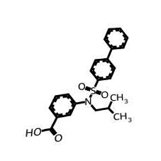 CC(C)CN(c1cccc(C(=O)O)c1)S(=O)(=O)c1ccc(-c2ccccc2)cc1